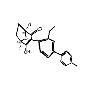 CCc1cc(-c2ccc(C)cc2)ccc1C1=C(O)[C@@]2(C)CC[C@H](O2)C1=O